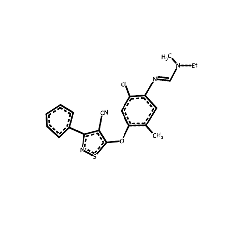 CCN(C)C=Nc1cc(C)c(Oc2snc(-c3ccccc3)c2C#N)cc1Cl